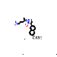 COc1ccc2cc(C(C)C(=O)NC(C)CCCN(C)C)ccc2c1